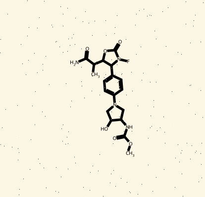 COC(=O)NC1CN(c2ccc(C3C(C(C)C(N)=O)OC(=O)N3F)cc2)CC1O